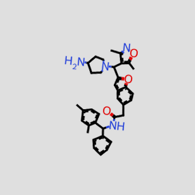 Cc1ccc(C(NC(=O)Cc2ccc3oc(C(c4c(C)noc4C)N4CCC(N)CC4)cc3c2)c2ccccc2)c(C)c1